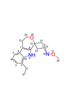 CCc1cccc2c3c([nH]c12)C(CC)(CC=NOC)OCC3